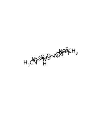 Cc1ncc(OCC(=O)NC2CCC(CCN3CCc4nc(OCC(C)(F)F)sc4CC3)OC2)cn1